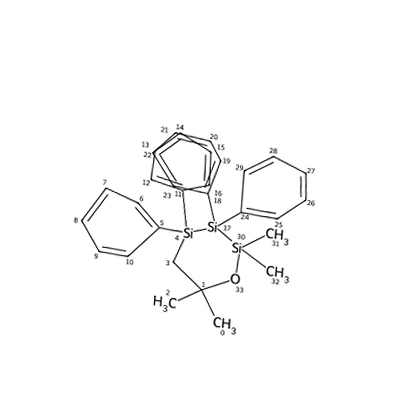 CC1(C)C[Si](c2ccccc2)(c2ccccc2)[Si](c2ccccc2)(c2ccccc2)[Si](C)(C)O1